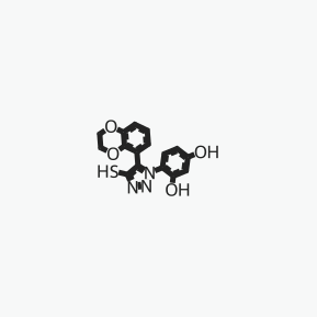 Oc1ccc(-n2nnc(S)c2-c2cccc3c2OCCO3)c(O)c1